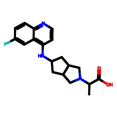 CC(C(=O)O)N1CC2CC(Nc3ccnc4ccc(F)cc34)CC2C1